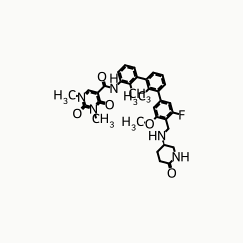 COc1cc(-c2cccc(-c3cccc(NC(=O)c4cn(C)c(=O)n(C)c4=O)c3C)c2C)cc(F)c1CN[C@@H]1CCC(=O)NC1